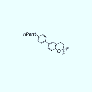 CCCCCc1ccc(-c2ccc3c(c2)CCC(F)(F)O3)cc1